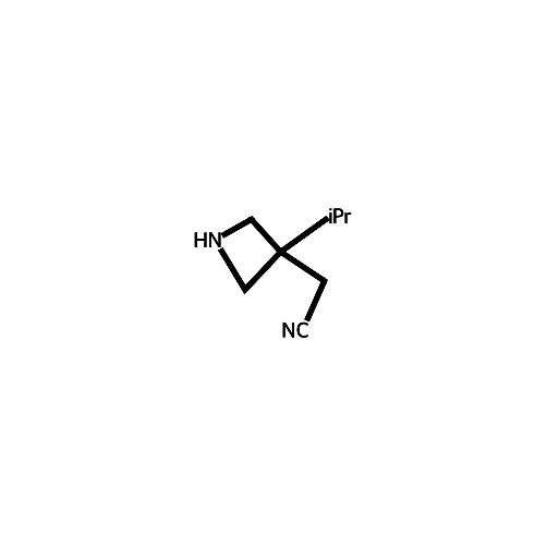 CC(C)C1(CC#N)CNC1